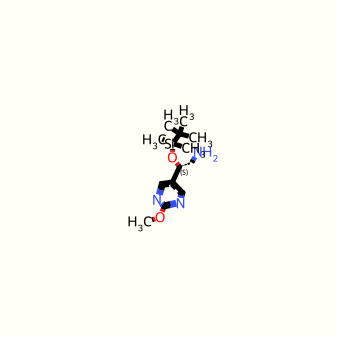 COc1ncc([C@@H](CN)O[Si](C)(C)C(C)(C)C)cn1